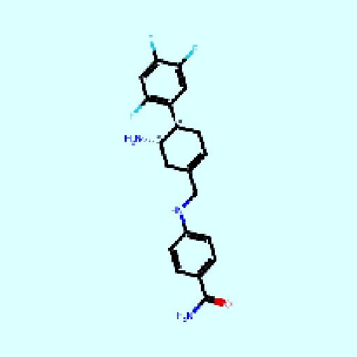 NC(=O)c1ccc(NCC2=CC[C@H](c3cc(F)c(F)cc3F)[C@@H](N)C2)cc1